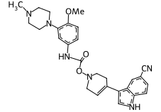 COc1ccc(NC(=O)ON2CC=C(c3c[nH]c4ccc(C#N)cc34)CC2)cc1N1CCN(C)CC1